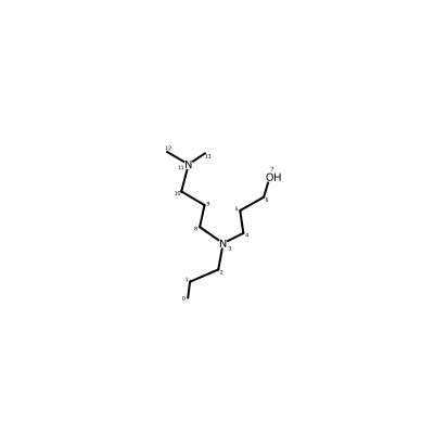 CCCN(CCCO)CCCN(C)C